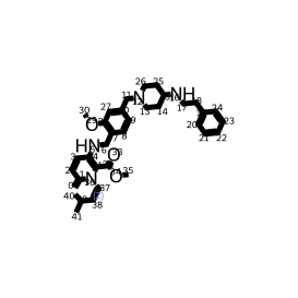 C=C1C=CC(NCc2ccc(CN3CCC(NCCc4ccccc4)CC3)cc2OC)=C(C(=O)OC)N1/C=C\C(C)C